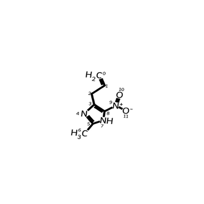 C=CCc1nc(C)[nH]c1[N+](=O)[O-]